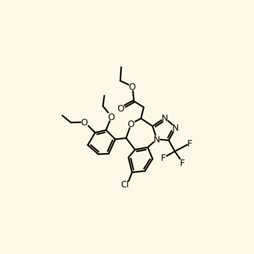 CCOC(=O)CC1OC(c2cccc(OCC)c2OCC)c2cc(Cl)ccc2-n2c1nnc2C(F)(F)F